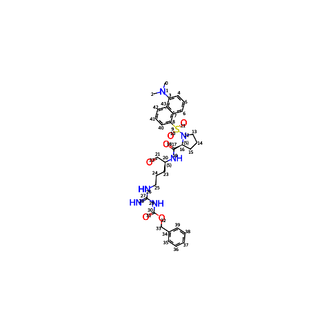 CN(C)c1cccc2c(S(=O)(=O)N3CCC[C@H]3C(=O)N[C@H](C=O)CCCNC(=N)NC(=O)OCc3ccccc3)cccc12